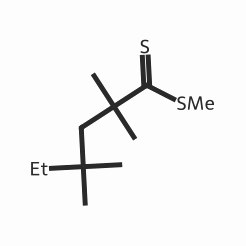 CCC(C)(C)CC(C)(C)C(=S)SC